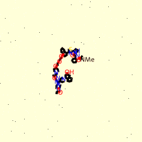 C=CC(=O)N1CCN(c2nc(OC(C)CN3CCC(OCCOCCOc4ccc(-c5csc(C6CCCN6C(=O)[C@@H](NC(=O)C(C)NC)C6CCCCC6)n5)c5ccccc45)CC3)nc3c2CCN(c2cc(O)cc4ccccc24)C3)CC1